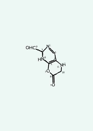 O=CC1N=CC2=C(N1)OC(=O)CN2